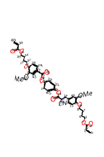 C=CC(=O)OCCCCOc1ccc(/C=C(\C#N)C(=O)Oc2ccc(OC(=O)c3ccc(OCCCCOC(=O)C=C)c(OC)c3)cc2)cc1OC